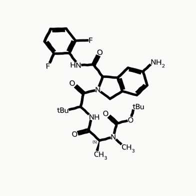 C[C@@H](C(=O)NC(C(=O)N1Cc2ccc(N)cc2C1C(=O)Nc1c(F)cccc1F)C(C)(C)C)N(C)C(=O)OC(C)(C)C